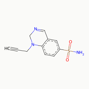 C#CCN1CN=Cc2cc(S(N)(=O)=O)ccc21